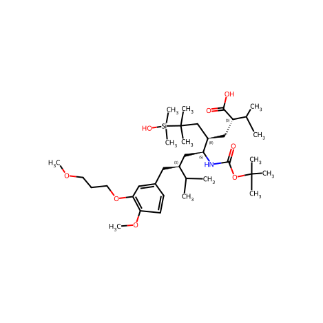 COCCCOc1cc(C[C@@H](C[C@H](NC(=O)OC(C)(C)C)[C@H](C[C@H](C(=O)O)C(C)C)CC(C)(C)[Si](C)(C)O)C(C)C)ccc1OC